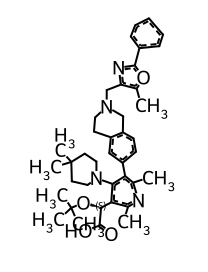 Cc1nc(C)c([C@H](OC(C)(C)C)C(=O)O)c(N2CCC(C)(C)CC2)c1-c1ccc2c(c1)CCN(Cc1nc(-c3ccccc3)oc1C)C2